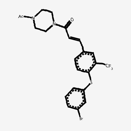 CC(=O)N1CCN(C(=O)/C=C/c2ccc(Sc3cccc(Br)c3)c(C(F)(F)F)c2)CC1